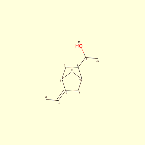 CC=C1CC2CC1CC2C(C)O